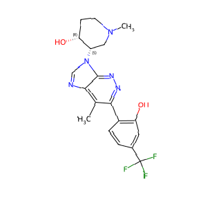 Cc1c(-c2ccc(C(F)(F)F)cc2O)nnc2c1ncn2[C@H]1CN(C)CC[C@H]1O